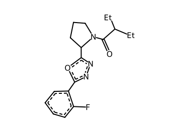 CCC(CC)C(=O)N1CCCC1c1nnc(-c2ccccc2F)o1